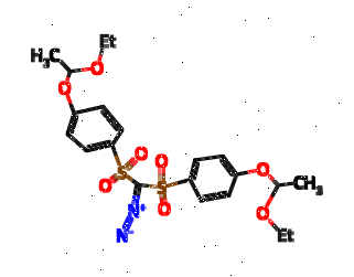 CCOC(C)Oc1ccc(S(=O)(=O)C(=[N+]=[N-])S(=O)(=O)c2ccc(OC(C)OCC)cc2)cc1